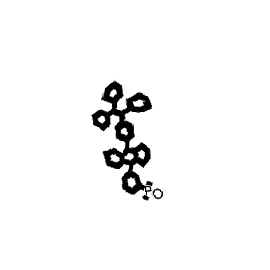 CP(C)(=O)c1cccc(-c2c3ccccc3c(-c3ccc(C(=C(c4ccccc4)c4ccccc4)c4ccccc4)cc3)c3ccccc23)c1